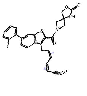 C#C/C=C\C=C/Cc1c(C(=O)N2CC3(COC(=O)N3)C2)sc2cc(-c3ccccc3F)ccc12